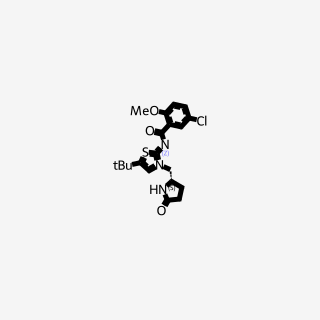 COc1ccc(Cl)cc1C(=O)/N=c1\sc(C(C)(C)C)cn1C[C@@H]1CCC(=O)N1